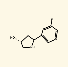 O[C@H]1CNC(c2cncc(F)c2)C1